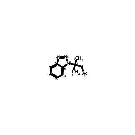 CC(=O)CC(C)(C)n1nnc2ccccc21